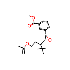 COC(=O)c1cccc([C@@H]2O[C@H]2C(CCO[SiH](C)C)C(C)(C)C)c1